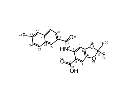 O=C(Nc1cc2c(cc1C(=O)O)OC(F)(F)O2)c1ccc2cc(F)ccc2c1